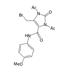 COc1ccc(NC(=O)c2c(CBr)n(C(C)=O)c(=O)n2C(C)=O)cc1